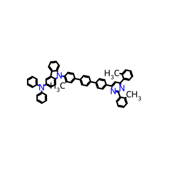 Cc1ccccc1-c1cc(-c2ccc(-c3ccc(-c4ccc(-n5c6ccccc6c6cc(N(c7ccccc7)c7ccccc7)ccc65)c(C)c4)cc3)cc2)nc(-c2ccccc2C)n1